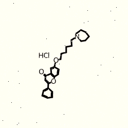 Cl.O=c1cc(-c2ccccc2)oc2ccc(OCCCCCCN3CCCCCC3)cc12